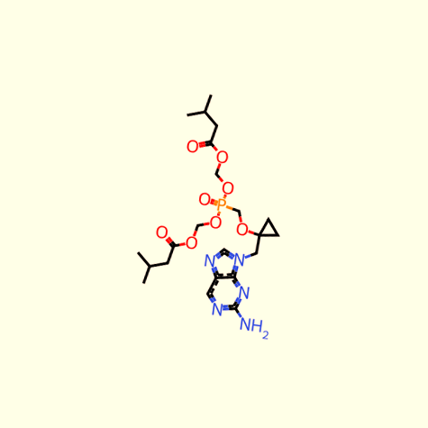 CC(C)CC(=O)OCOP(=O)(COC1(Cn2cnc3cnc(N)nc32)CC1)OCOC(=O)CC(C)C